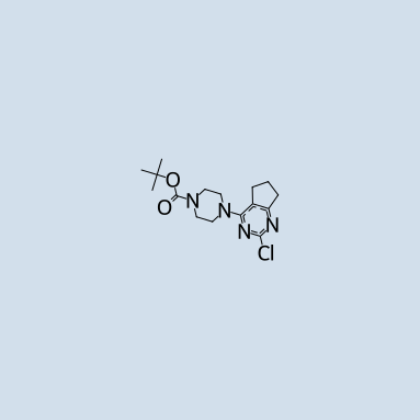 CC(C)(C)OC(=O)N1CCN(c2nc(Cl)nc3c2CCC3)CC1